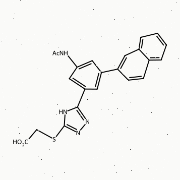 CC(=O)Nc1cc(-c2ccc3ccccc3c2)cc(-c2nnc(SCC(=O)O)[nH]2)c1